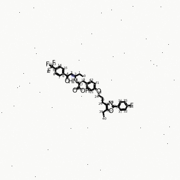 CC/C(=C/C(=O)c1ccc(C(F)(F)F)cc1)N[C@@H](Cc1ccc(OCCCc2nc(-c3ccc(F)cc3)oc2CC)cc1)C(=O)O